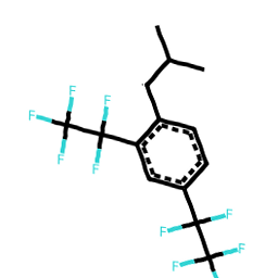 CC(C)[CH]c1ccc(C(F)(F)C(F)(F)F)cc1C(F)(F)C(F)(F)F